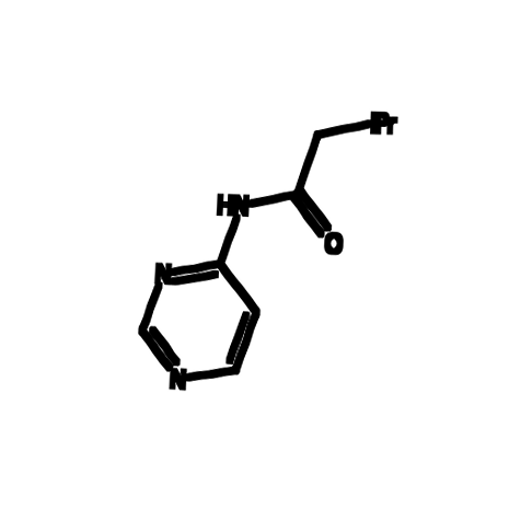 CC(C)CC(=O)Nc1ccncn1